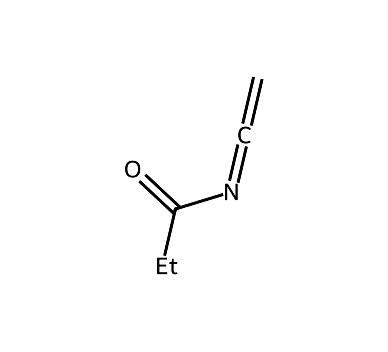 C=C=NC(=O)CC